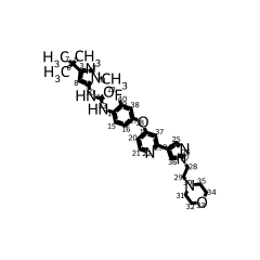 Cn1nc(C(C)(C)C)cc1NC(=O)Nc1ccc(Oc2ccnc(-c3cnn(CCN4CCOCC4)c3)c2)cc1F